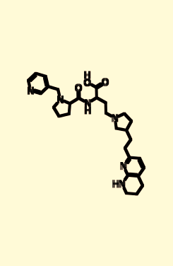 O=C(O)C(CCN1CCC(CCc2ccc3c(n2)NCCC3)C1)NC(=O)C1CCCN1Cc1cccnc1